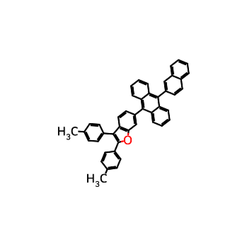 Cc1ccc(-c2oc3cc(-c4c5ccccc5c(-c5ccc6ccccc6c5)c5ccccc45)ccc3c2-c2ccc(C)cc2)cc1